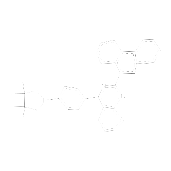 CC1(C)OB(c2ccc(-c3nc(-c4cc5ccccc5c5ccccc45)nc4ccccc34)cc2)OC1(C)C